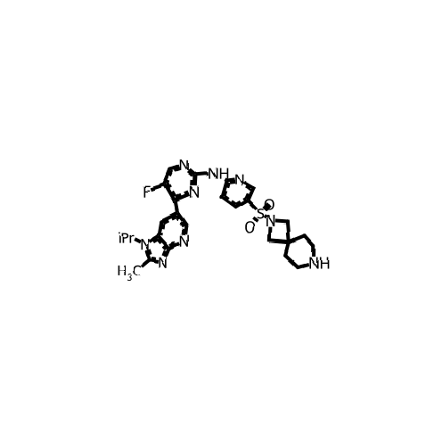 Cc1nc2ncc(-c3nc(Nc4ccc(S(=O)(=O)N5CC6(CCNCC6)C5)cn4)ncc3F)cc2n1C(C)C